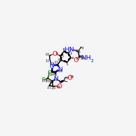 C[C@H](Nc1ccc2c(c1)OCCn1cc(N3C(=C=O)OC4C[C@@]43C(F)F)nc1-2)C(N)=O